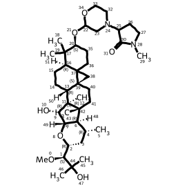 CO[C@@H]([C@H]1C[C@@H](C)[C@H]2[C@H](O1)[C@H](O)[C@@]1(C)[C@@H]3CC[C@H]4C(C)(C)[C@@H](OC5CN(C6CCN(C)C6=O)CCO5)CCC45C[C@@]35CC[C@]21C)C(C)(C)O